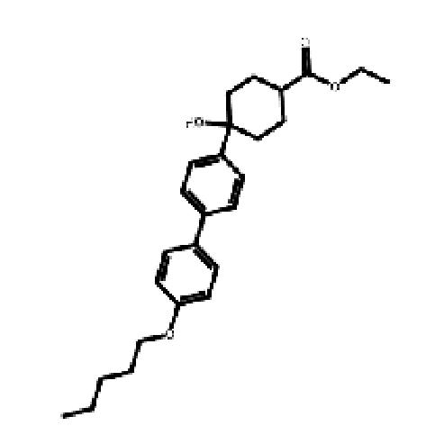 CCCCCOc1ccc(-c2ccc(C3(O)CCC(C(=O)OCC)CC3)cc2)cc1